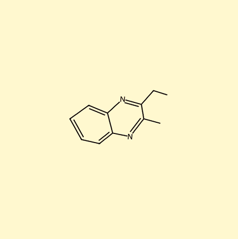 CCc1nc2ccccc2nc1C